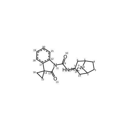 CN1C2CCC1CC(NC(=O)N1C(=O)C3(CC3)c3ccccc31)C2